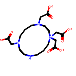 O=C(O)CN1CCCN(CC(=O)O)CC[N+](CC(=O)O)(CC(=O)O)CCCNCC1